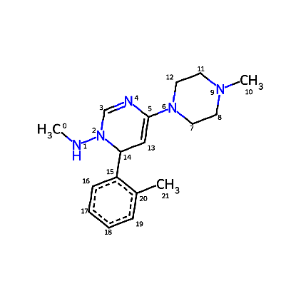 CNN1C=NC(N2CCN(C)CC2)=CC1c1ccccc1C